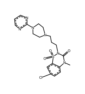 CN1C(=O)N(CCCN2CCN(c3ncccn3)CC2)S(=O)(=O)c2cc(Cl)ccc21